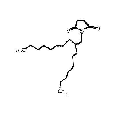 CCCCCCCCC(CCCCCCC)CN1C(=O)CCC1=O